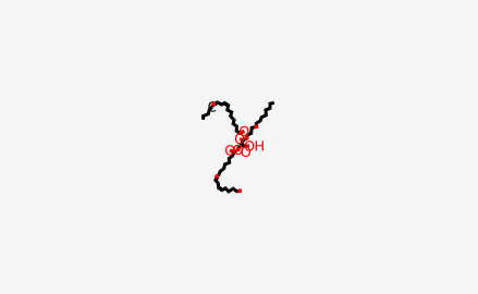 CCCCC/C=C\C/C=C\CCCCCCCC(=O)OCC(C(=O)O)C(CCCCCCCCCCCCC)OC(=O)CCCCCCC/C=C\C/C=C\CCCCC